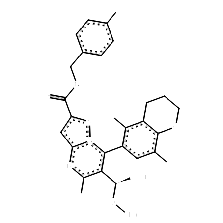 Cc1nc2cc(C(=O)NCc3ccc(Cl)cc3)nn2c(-c2cc(F)c3c(c2C)CCCO3)c1[C@H](OC(C)(C)C)C(=O)O